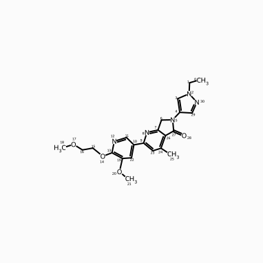 CCn1cc(N2Cc3nc(-c4cnc(OCCOC)c(OC)c4)cc(C)c3C2=O)cn1